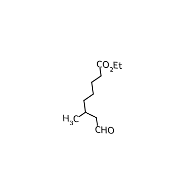 CCOC(=O)CCCCC(C)CC=O